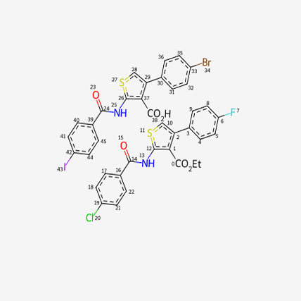 CCOC(=O)c1c(-c2ccc(F)cc2)csc1NC(=O)c1ccc(Cl)cc1.O=C(Nc1scc(-c2ccc(Br)cc2)c1C(=O)O)c1ccc(I)cc1